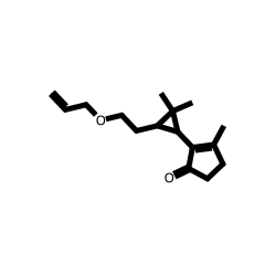 C=CCOCCC1C(C2=C(C)CCC2=O)C1(C)C